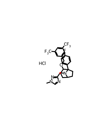 Cl.Cn1cnc(CN2C3CCC(OCc4cc(C(F)(F)F)cc(C(F)(F)F)c4)C2(c2ccc(F)cc2)CC3)n1